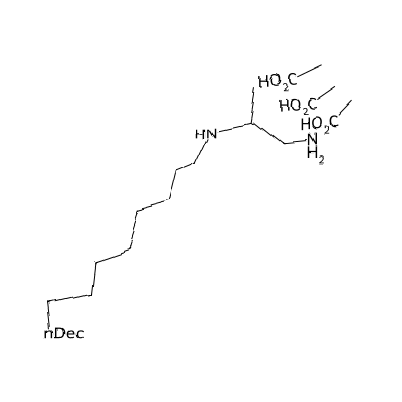 CC(=O)O.CC(=O)O.CC(=O)O.CCCCCCCCCCCCCCCCCCNC(C)CN